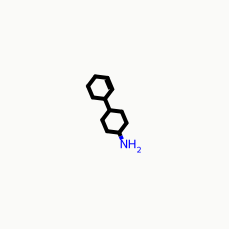 NC1CCC(C2C=CCCC2)CC1